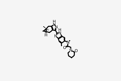 Cc1cc2nc(-c3n[nH]c4c3C[C@@H]3C[C@]3(C)C4)[nH]c2cc1N(C)C(=O)CN1CCCCC1=O